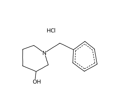 Cl.OC1CCCN(Cc2ccccc2)C1